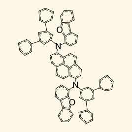 c1ccc(-c2cc(-c3ccccc3)cc(N(c3ccc4ccc5c(N(c6cc(-c7ccccc7)cc(-c7ccccc7)c6)c6cccc7c6oc6ccccc67)ccc6ccc3c4c65)c3cccc4c3oc3ccccc34)c2)cc1